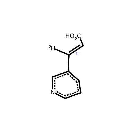 [2H]/C(=C\C(=O)O)c1cccnc1